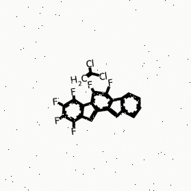 C=C(Cl)Cl.Fc1c(F)c(F)c2c(c1F)C=c1c-2c(F)c(F)c2c1=Cc1ccccc1-2